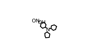 C1CCC(N(C2CCCCC2)C2CCCCC2)CC1.O=NO